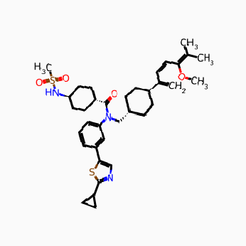 C=C(/C=C\C(OC)=C(C)C)[C@H]1CC[C@H](CN(c2cccc(-c3cnc(C4CC4)s3)c2)C(=O)[C@H]2CC[C@H](NS(C)(=O)=O)CC2)CC1